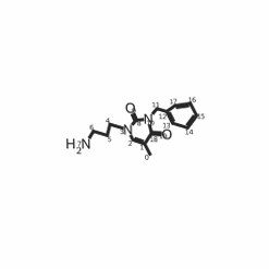 Cc1cn(CCCN)c(=O)n(Cc2ccccc2)c1=O